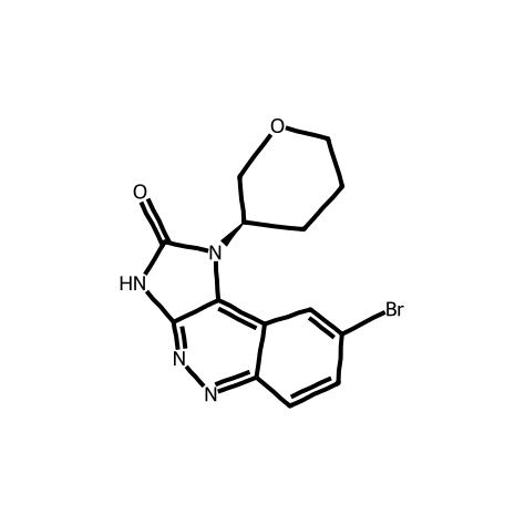 O=c1[nH]c2nnc3ccc(Br)cc3c2n1[C@@H]1CCCOC1